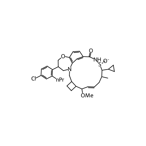 CCCc1cc(Cl)ccc1C1COc2ccc3cc2N(C1)CC1CCC1C(OC)/C=C/CC(C)C(C1CC1)[S+]([O-])NC3=O